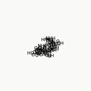 CSCC[C@H](NC(=O)[C@H](CC(N)=O)NC(=O)CNC(=O)[C@H](C)NC(=O)[C@H](CCC(=O)O)NC(=O)[C@H](C)NC(=O)[C@@H](N)CC(N)=O)C(=O)N[C@@H](CCC(=O)O)C(=O)N[C@@H](C)C(=O)N[C@H](C(=O)N[C@@H](CS)C(=O)N[C@@H](CCCNC(=N)N)C(=O)N[C@H](C(=O)N[C@@H](CCC(=O)O)C(=O)N[C@@H](CC(C)C)C(=O)O)[C@@H](C)O)[C@@H](C)O